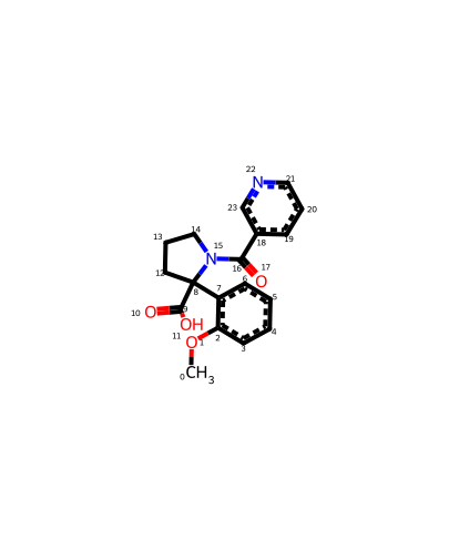 COc1ccccc1C1(C(=O)O)CCCN1C(=O)c1cccnc1